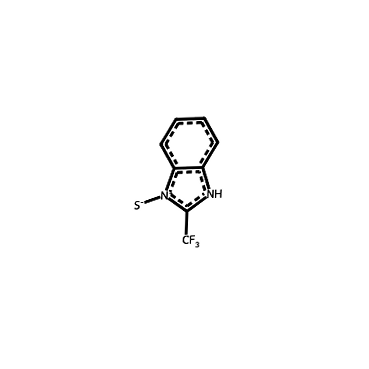 FC(F)(F)c1[nH]c2ccccc2[n+]1[S-]